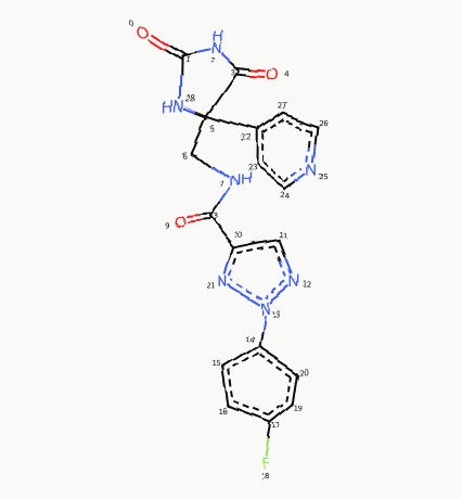 O=C1NC(=O)C(CNC(=O)c2cnn(-c3ccc(F)cc3)n2)(c2ccncc2)N1